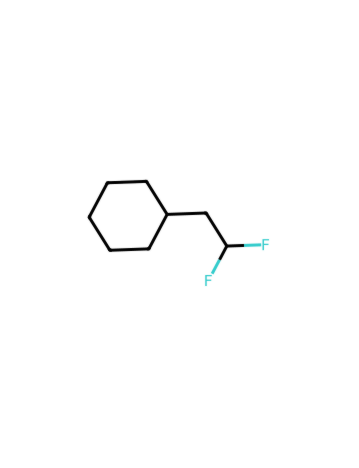 FC(F)CC1CCCCC1